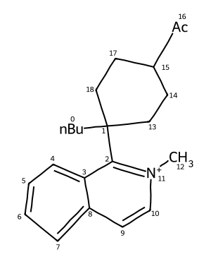 CCCCC1(c2c3ccccc3cc[n+]2C)CCC(C(C)=O)CC1